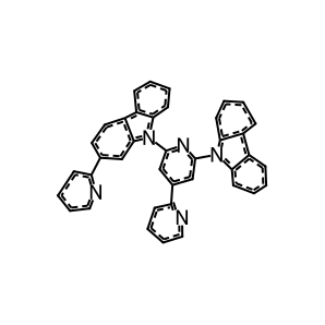 c1ccc(-c2cc(-n3c4ccccc4c4ccccc43)nc(-n3c4ccccc4c4ccc(-c5ccccn5)cc43)c2)nc1